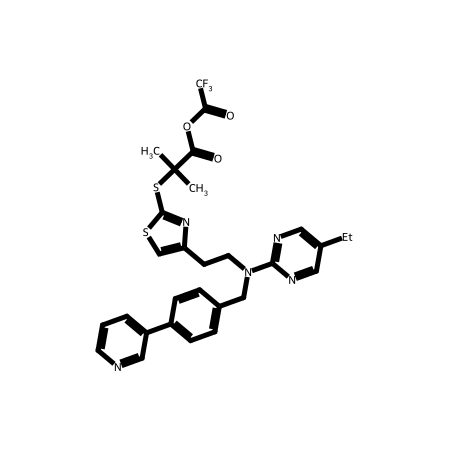 CCc1cnc(N(CCc2csc(SC(C)(C)C(=O)OC(=O)C(F)(F)F)n2)Cc2ccc(-c3cccnc3)cc2)nc1